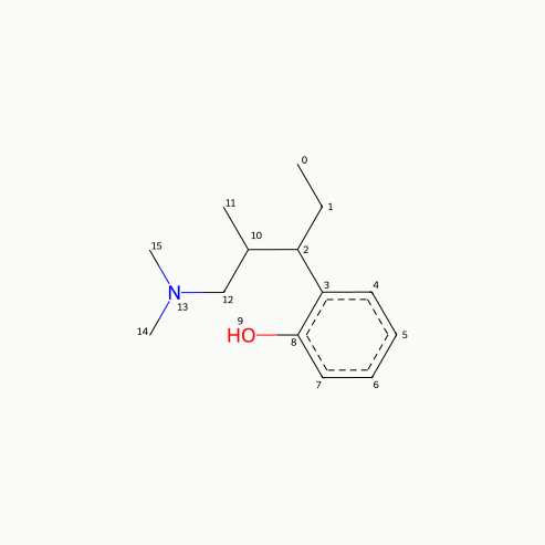 CCC(c1ccccc1O)C(C)CN(C)C